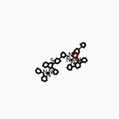 c1ccc(-c2ccc(-c3nc(-c4cccc(-c5ccc6c(c5)sc5c7ccccc7c7c(c8ccccc8n7-c7nc(-c8ccccc8)c8ccccc8n7)c65)c4)nc(-n4c5ccccc5c5ccc6c7ccccc7n(-c7ccccc7)c6c54)n3)cc2)cc1